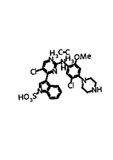 CC.COc1cc(N2CCNCC2)c(Cl)cc1Nc1ncc(Cl)c(-c2cn(S(=O)(=O)O)c3ccccc23)n1